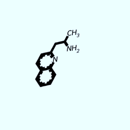 CC(N)Cc1ccc2ccccc2n1